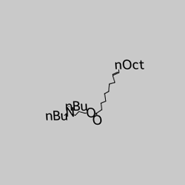 CCCCCCCCC=CCCCCCCCC(=O)OCCCN(CCCC)CCCC